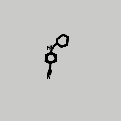 N#Cc1ccc(NC2CCCCC2)cc1